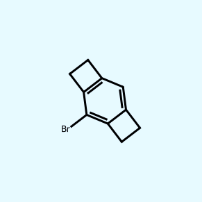 Brc1c2c(cc3c1CC3)CC2